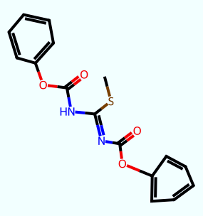 CS/C(=N\C(=O)Oc1ccccc1)NC(=O)Oc1ccccc1